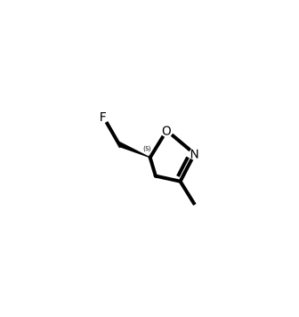 CC1=NO[C@H](CF)C1